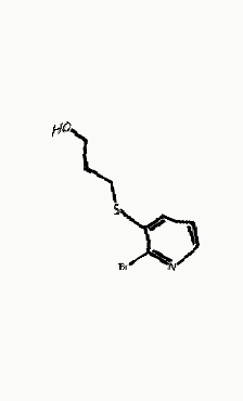 OCCCSc1cccnc1Br